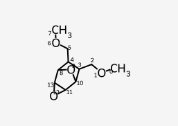 COCC1C(COC)C2OC1C1OC21